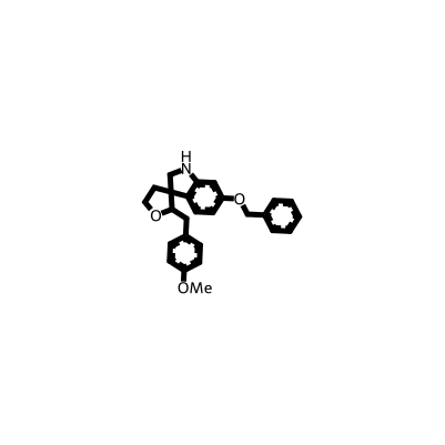 COc1ccc(CC2OCCC23CNc2cc(OCc4ccccc4)ccc23)cc1